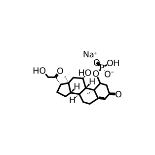 C[C@]12C[C@H](O)[C@H]3[C@@H](CCC4=CC(=O)CC(OP(=O)([O-])O)[C@@]43C)[C@@H]1CC[C@@H]2C(=O)CO.[Na+]